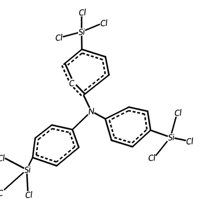 C[Si](Cl)(Cl)c1ccc(N(c2ccc([Si](Cl)(Cl)Cl)cc2)c2ccc([Si](Cl)(Cl)Cl)cc2)cc1